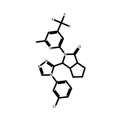 Cc1cc(C(F)(F)F)cc(N2C(=O)C3CCCC3C2c2nncn2-c2cccc(Cl)c2)n1